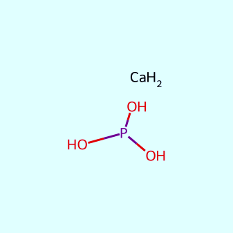 OP(O)O.[CaH2]